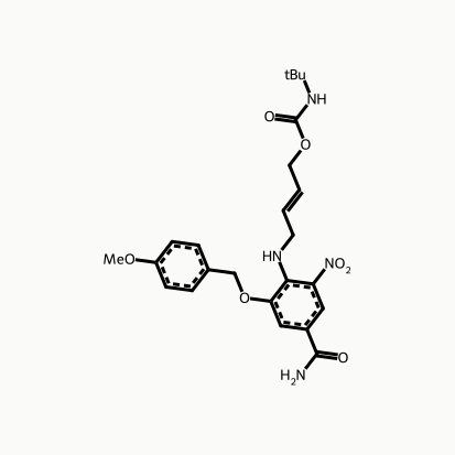 COc1ccc(COc2cc(C(N)=O)cc([N+](=O)[O-])c2NC/C=C/COC(=O)NC(C)(C)C)cc1